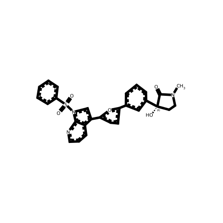 CN1CC[C@@](O)(c2cccc(-c3ccc(-c4cn(S(=O)(=O)c5ccccc5)c5ncccc45)o3)c2)C1=O